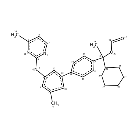 Cc1cc(Nc2nccc(C)n2)cc(-c2ccc(C(C)(OC=O)C3CCCCC3)cc2)c1